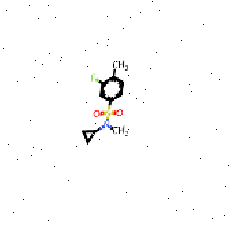 Cc1ccc(S(=O)(=O)N(C)C2CC2)cc1F